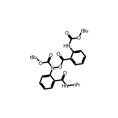 CCCNC(=O)c1ccccc1N(OC(=O)c1ccccc1NC(=O)OC(C)(C)C)C(=O)OC(C)(C)C